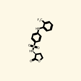 O=C1OCC[C@@H]1NS(=O)(=O)c1ccc(Nc2ccccc2C(F)(F)F)cc1